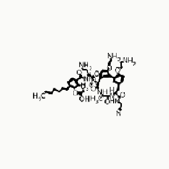 CCCCCCCc1ccc(C(=O)N[C@@H](CCN)C(=O)N(C)[C@@H]2C(=O)N[C@@H](C)C(=O)N[C@H](C(=O)NCC#N)Cc3ccc(OCCN)c(c3)-c3cc2ccc3OCCN)c(OCC(=O)O)c1